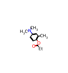 CCC(=O)Oc1ccc(N(C)C)cc1C